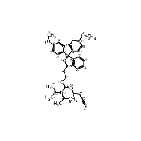 COc1ccc(C(OCCCOP(OCCC#N)N(C(C)C)C(C)C)(c2ccccc2)c2ccc(OC)cc2)cc1